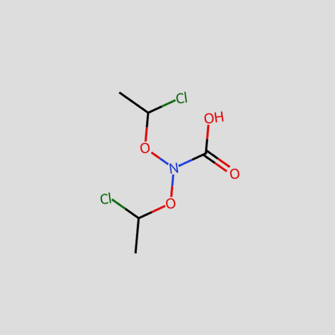 CC(Cl)ON(OC(C)Cl)C(=O)O